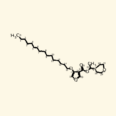 CCCCCCCCCCCCCCCCOc1cocc1C(=O)OC(C)N1CCOCC1